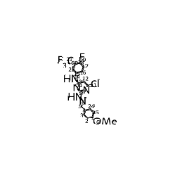 COc1ccc(/C=N/Nc2nc(Cl)cc(Nc3ccc(F)c(C(F)(F)F)c3)n2)cc1